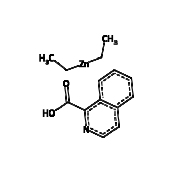 C[CH2][Zn][CH2]C.O=C(O)c1nccc2ccccc12